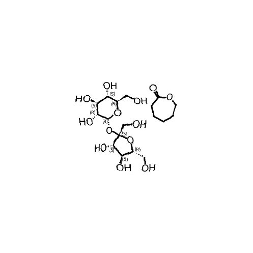 O=C1CCCCCO1.OC[C@H]1O[C@@](CO)(O[C@H]2O[C@H](CO)[C@@H](O)[C@H](O)[C@H]2O)[C@@H](O)[C@@H]1O